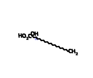 C=CCCCCCCCCCCCCCCC/C=C/CC(O)C(=O)O